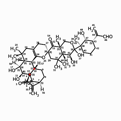 C=C1C(=O)[C@]23[C@H](O)[C@H]1CC[C@H]2[C@@]12CO[C@@]3(O)[C@@H](O)[C@@H]1C(C)(C)CC1=C2O[C@]2(CC1)CC(C)(C)[C@H]1[C@H](O)C(O)([C@]3(C)CCC[C@@H](C(=C)C=O)[C@H]3O)OC[C@@]1(C)C2=O